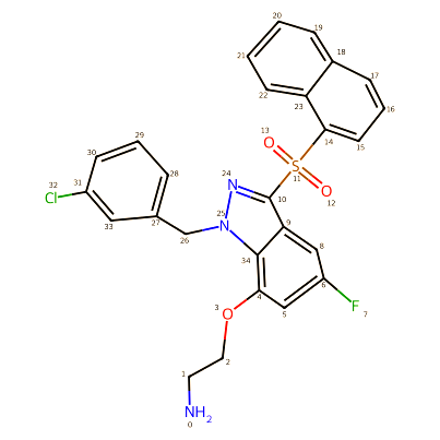 NCCOc1cc(F)cc2c(S(=O)(=O)c3cccc4ccccc34)nn(Cc3cccc(Cl)c3)c12